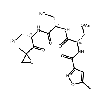 COC[C@H](NC(=O)c1cc(C)on1)C(=O)N[C@@H](CC#N)C(=O)N[C@@H](CC(C)C)C(=O)C1(C)CO1